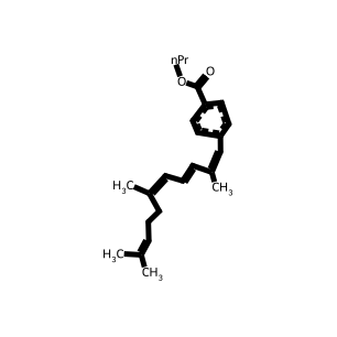 CCCOC(=O)c1ccc(C=C(C)C=CC=C(C)CCC=C(C)C)cc1